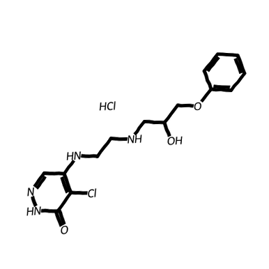 Cl.O=c1[nH]ncc(NCCNCC(O)COc2ccccc2)c1Cl